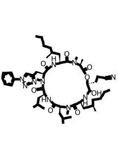 CCCC[C@@H](C)C[C@@H]1NC(O)[C@@H](CCC#N)OC(=O)[C@H](C)N(C)C(=O)[C@H](C[C@@H](C)CCCC)NC(=O)[C@H](Cc2cn(-c3ccccc3)nn2)N(C)C(=O)[C@H](CC(C)C)NC(=O)[C@H](CC(C)C)N(C)C1=O